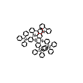 c1ccc(-c2ccccc2N2c3cc([Si](c4ccccc4)(c4ccccc4)c4ccccc4)ccc3B3c4ccc([Si](c5ccccc5)(c5ccccc5)c5ccccc5)cc4N(c4cccc([Si](c5ccccc5)(c5ccccc5)c5ccccc5)c4)c4cc(-n5c6ccccc6c6ccccc65)cc2c43)cc1